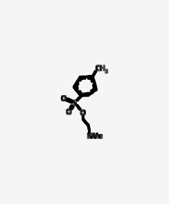 CNCCOS(=O)(=O)c1ccc(C)cc1